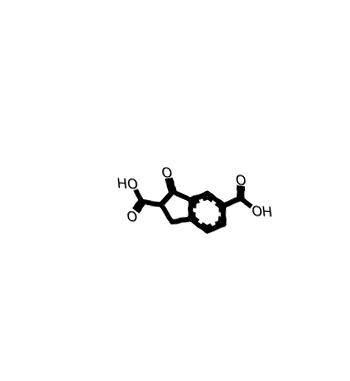 O=C(O)c1ccc2c(c1)C(=O)C(C(=O)O)C2